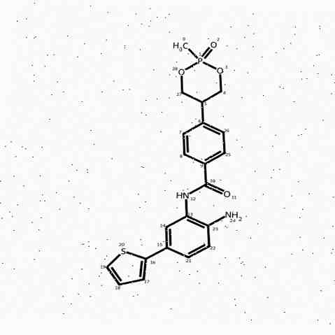 CP1(=O)OCC(c2ccc(C(=O)Nc3cc(-c4cccs4)ccc3N)cc2)CO1